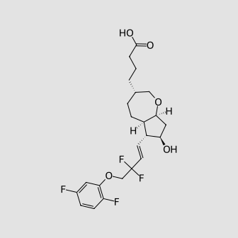 O=C(O)CCC[C@H]1CC[C@@H]2[C@@H](/C=C/C(F)(F)COc3cc(F)ccc3F)[C@H](O)C[C@@H]2OC1